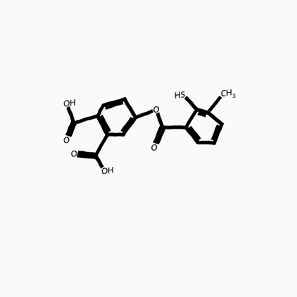 Cc1cccc(C(=O)Oc2ccc(C(=O)O)c(C(=O)O)c2)c1S